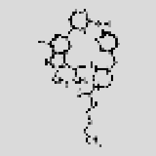 CCCCOC(=O)N1CCN(Cc2ccc(Nc3nccc(-c4cc(F)c5nn(C)c(C(C)C)c5c4)n3)nc2)CC1